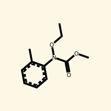 CCON(C(=O)OC)c1ccccc1C